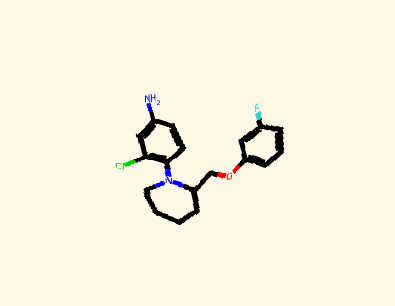 Nc1ccc(N2CCCCC2COc2cccc(F)c2)c(Cl)c1